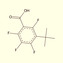 CC(C)(C)c1c(F)c(F)c(F)c(C(=O)O)c1F